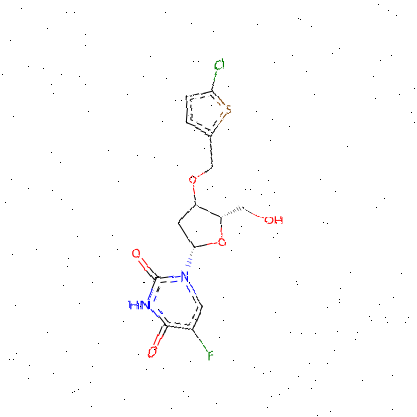 O=c1[nH]c(=O)n([C@@H]2CC(OCc3ccc(Cl)s3)[C@H](CO)O2)cc1F